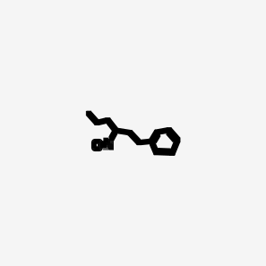 CCCC(CCc1ccccc1)N=O